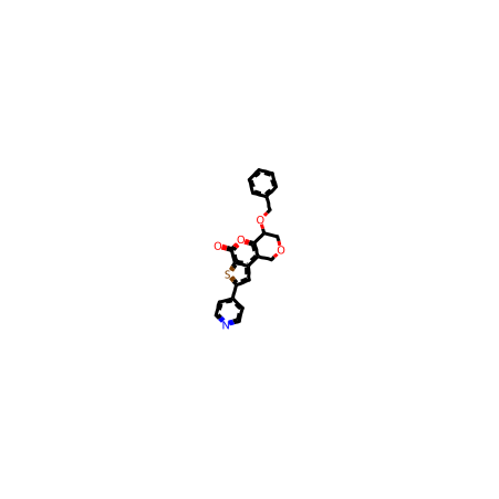 O=c1oc2c(c3cc(-c4ccncc4)sc13)COCC2OCc1ccccc1